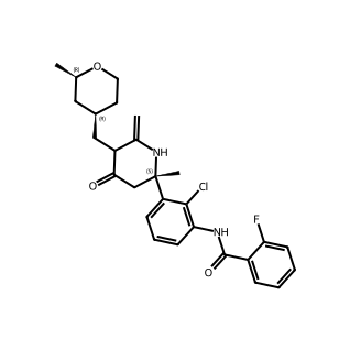 C=C1N[C@](C)(c2cccc(NC(=O)c3ccccc3F)c2Cl)CC(=O)C1C[C@@H]1CCO[C@H](C)C1